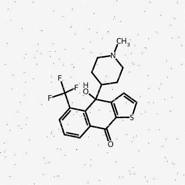 CN1CCC(C2(O)c3ccsc3C(=O)c3cccc(C(F)(F)F)c32)CC1